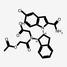 CC(=O)OCC(=O)N(CC(=O)O)[C@@H]1c2ccccc2C[C@H]1n1c(C(N)=O)cc2cc(Cl)ccc21